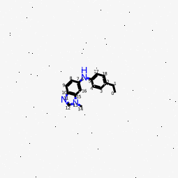 CCc1ccc(Nc2ccc3ncn(C)c3c2)cc1